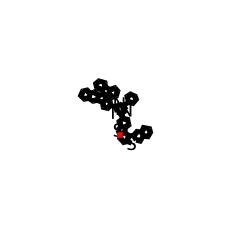 c1ccc(-c2nc(-c3ccc4c(c3)C3(c5ccccc5-c5ccccc53)c3cc5ccccc5cc3-4)nc(-c3ccc4c(c3)sc3ccc5sc6cc7ccccc7cc6c5c34)n2)cc1